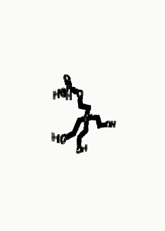 O=[PH](O)OCC[N+](CCO)(CCO)CCO